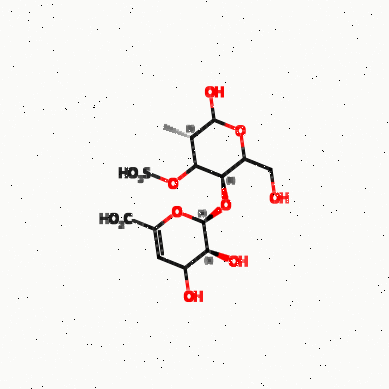 C[C@@H]1C(O)OC(CO)[C@@H](O[C@@H]2OC(C(=O)O)=CC(O)[C@@H]2O)C1OS(=O)(=O)O